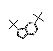 CC(C)(C)c1cnc2ccn(C(C)(C)C)c2n1